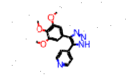 COc1cc(-c2nn[nH]c2-c2ccncc2)cc(OC)c1OC